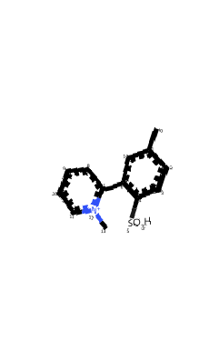 Cc1ccc(S(=O)(=O)O)c(-c2cccc[n+]2C)c1